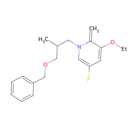 C=C1C(OCC)=CC(F)=CN1CC(C)COCc1ccccc1